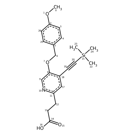 COc1ccc(COc2cnc(CCC(=O)O)cc2C#C[Si](C)(C)C)cc1